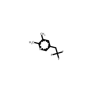 Cc1cc(CC(F)(F)F)cnc1C